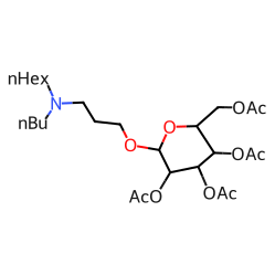 CCCCCCN(CCCC)CCCOC1OC(COC(C)=O)C(OC(C)=O)C(OC(C)=O)C1OC(C)=O